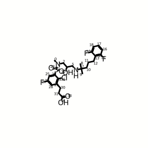 CN(CC(O)CNC(C)(C)CCCc1c(F)cccc1F)S(=O)(=O)c1cc(F)cc(CCC(=O)O)c1Cl